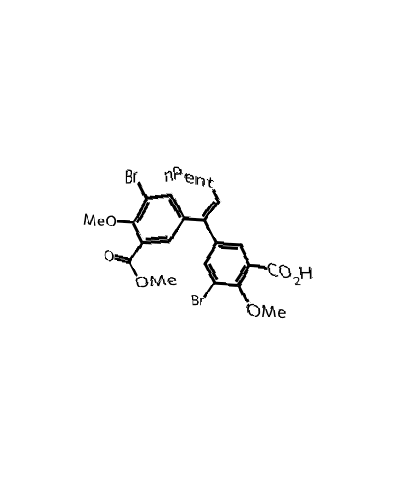 CCCCCC=C(c1cc(Br)c(OC)c(C(=O)O)c1)c1cc(Br)c(OC)c(C(=O)OC)c1